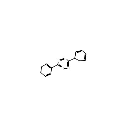 C1=CCC(c2nnc(C3=CCCC=C3)nn2)C=C1